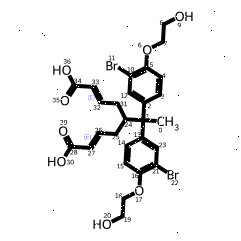 CC(c1ccc(OCCO)c(Br)c1)(c1ccc(OCCO)c(Br)c1)C(C/C=C/C(=O)O)C/C=C/C(=O)O